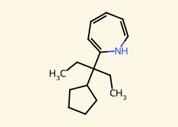 CCC(CC)(C1=CC=CC=CN1)C1CCCC1